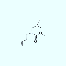 C=CCCC(CC(C)C)C(=O)OC